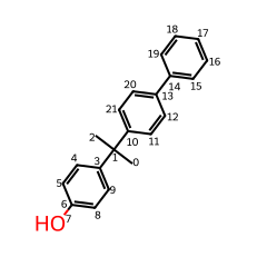 CC(C)(c1ccc(O)cc1)c1ccc(-c2ccccc2)cc1